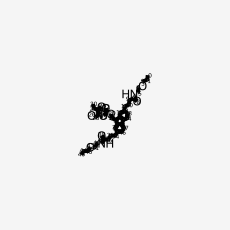 CCCOCCNC(=O)CCCc1ccc2c(c1)C(COC(=O)ON(C=O)C(=O)CC)c1cc(CCCC(=O)NCCOCCC)ccc1-2